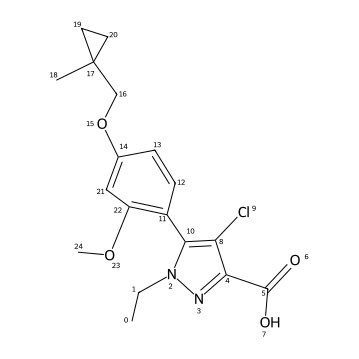 CCn1nc(C(=O)O)c(Cl)c1-c1ccc(OCC2(C)CC2)cc1OC